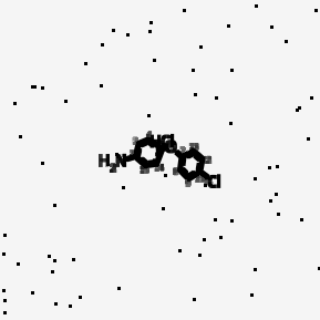 Cl.Nc1ccc(Oc2ccc(Cl)cc2)cc1